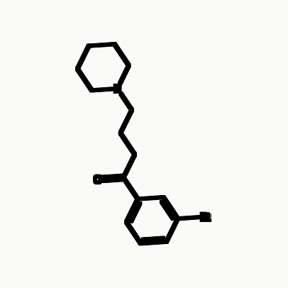 CCc1cccc(C(=O)CCCN2CCCCC2)c1